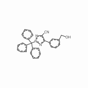 N#Cc1nn(C(c2ccccc2)(c2ccccc2)c2ccccc2)nc1-c1cccc(CO)c1